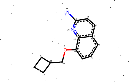 Nc1ccc2cccc(OCC3CCC3)c2n1